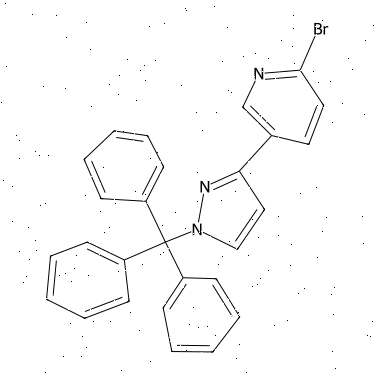 Brc1ccc(-c2ccn(C(c3ccccc3)(c3ccccc3)c3ccccc3)n2)cn1